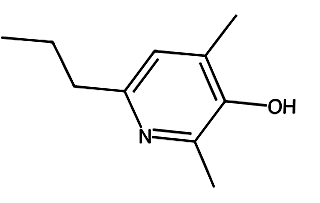 CCCc1cc(C)c(O)c(C)n1